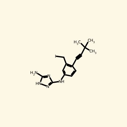 CC(C)(C)C#Cc1ccc(Nc2n[nH]c(N)n2)cc1CI